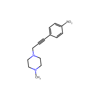 CN1CCN(CC#Cc2ccc([N+](=O)[O-])cc2)CC1